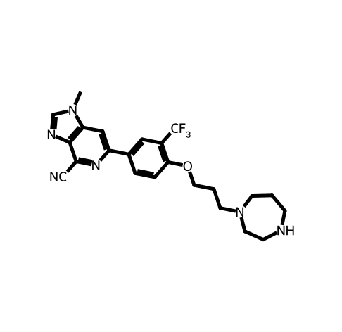 Cn1cnc2c(C#N)nc(-c3ccc(OCCCN4CCCNCC4)c(C(F)(F)F)c3)cc21